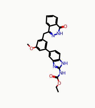 CCOC(=O)Nc1nc2cc(-c3cc(Cc4n[nH]c(=O)c5ccccc45)cc(OC)c3)ccc2[nH]1